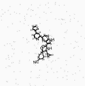 N#CC1CCN(C(=O)[C@H](NC(=O)c2c[nH]c3ncc(-c4cc(-c5cccs5)ccn4)nc23)C2CC2)CC1